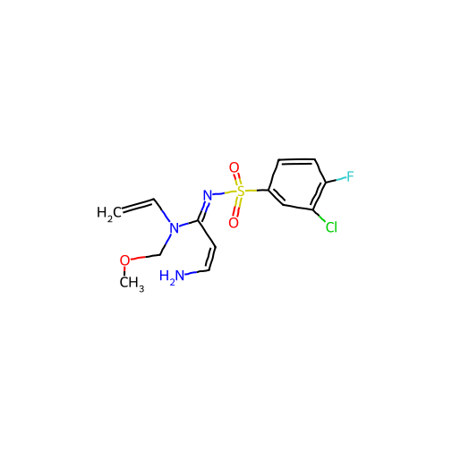 C=CN(COC)C(/C=C\N)=N/S(=O)(=O)c1ccc(F)c(Cl)c1